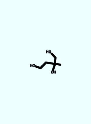 CC(O)(CO)CCO